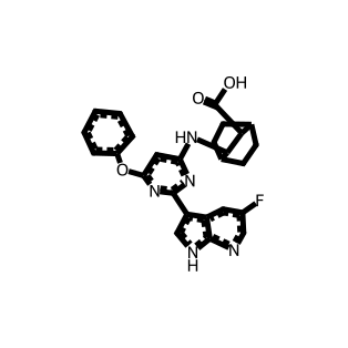 O=C(O)C1C2CCC(CC2)C1Nc1cc(Oc2ccccc2)nc(-c2c[nH]c3ncc(F)cc23)n1